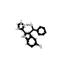 COC(c1ccccc1)c1c(-c2ncno2)[nH]c2ccc(Cl)cc12